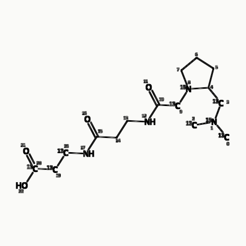 [13CH3][15N]([13CH3])[13CH2]C1CCC[15N]1[13CH2]C(=O)NCCC(=O)N[13CH2][13CH2][13C](=O)O